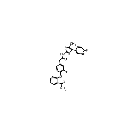 Cc1sc(NC(=O)Cc2ccc(Oc3ncccc3C(N)=O)c(F)c2)nc1C1=CNC(F)C=C1